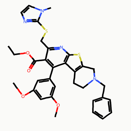 CCOC(=O)c1c(CSc2nccn2C)nc2sc3c(c2c1-c1cc(OC)cc(OC)c1)CCN(Cc1ccccc1)C3